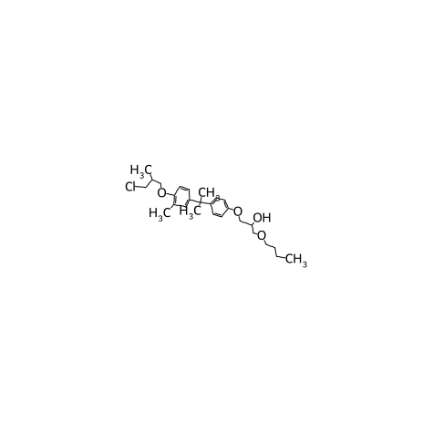 CCCCOCC(O)COc1ccc(C(C)(C)c2ccc(OCC(C)CCl)c(C)c2)cc1